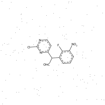 O=CC(c1ccnc(Cl)n1)c1cccc([N+](=O)[O-])c1F